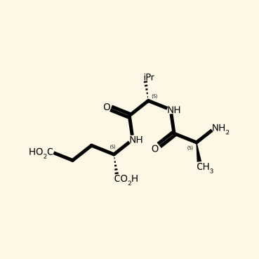 CC(C)[C@H](NC(=O)[C@H](C)N)C(=O)N[C@@H](CCC(=O)O)C(=O)O